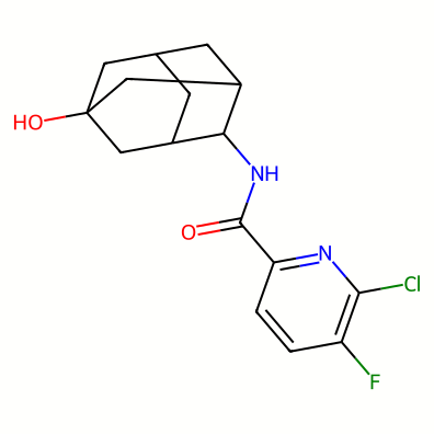 O=C(NC1C2CC3CC1CC(O)(C3)C2)c1ccc(F)c(Cl)n1